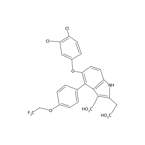 O=C(O)Cc1[nH]c2ccc(Oc3ccc(Cl)c(Cl)c3)c(-c3ccc(OCC(F)(F)F)cc3)c2c1C(=O)O